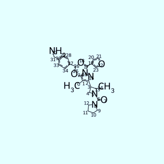 Cc1c(C2CN(C(=O)N3CCCC3)C2C)nn(C(=O)c2ccoc2)c1OCc1ccc(CN)cc1